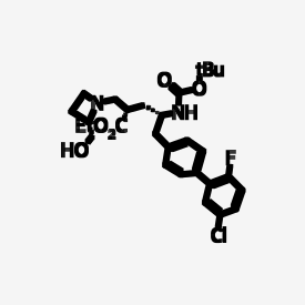 CCOC(=O)[C@@H](C[C@@H](Cc1ccc(-c2cc(Cl)ccc2F)cc1)NC(=O)OC(C)(C)C)CN1CC[C@H]1CO